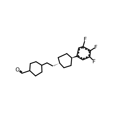 O=CC1CCC(CC[C@H]2CC[C@H](c3cc(F)c(F)c(F)c3)CC2)CC1